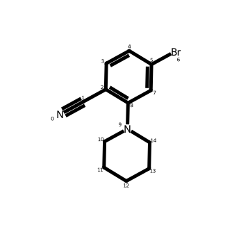 N#Cc1ccc(Br)cc1N1CCCCC1